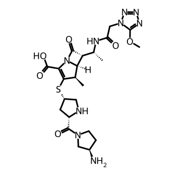 COc1nnnn1CC(=O)N[C@H](C)[C@H]1C(=O)N2C(C(=O)O)=C(S[C@@H]3CN[C@H](C(=O)N4CC[C@@H](N)C4)C3)[C@H](C)[C@H]12